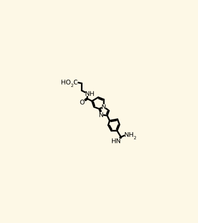 N=C(N)c1ccc(-c2cn3ccc(C(=O)NCCC(=O)O)cc3n2)cc1